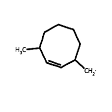 [CH2]C1/C=C\C(C)CCCC1